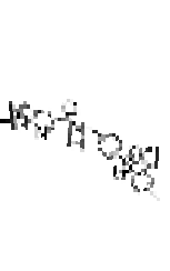 Cc1ccc(S(=O)(=O)c2ccc(CNC(=O)c3cnc4[nH]ncc4c3)cc2)c(Cl)c1